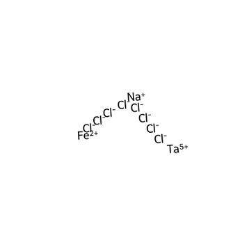 [Cl-].[Cl-].[Cl-].[Cl-].[Cl-].[Cl-].[Cl-].[Cl-].[Fe+2].[Na+].[Ta+5]